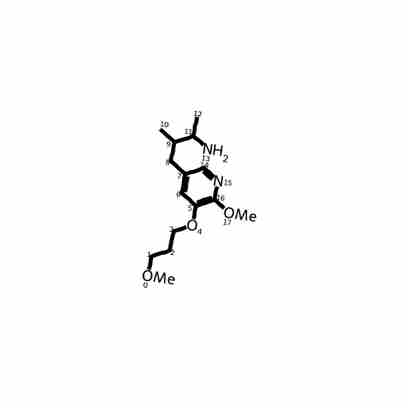 COCCCOc1cc(CC(C)C(C)N)cnc1OC